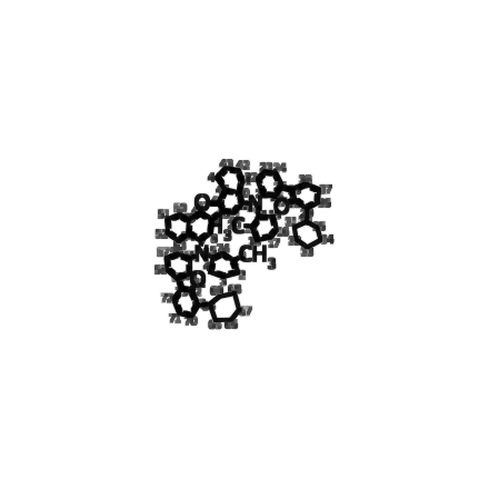 Cc1cccc(N(c2cc3c4cc(N(c5ccccc5C)c5cccc6c5oc5c(C7CCCCC7)cccc56)c5ccccc5c4oc3c3ccccc23)c2cccc3c2oc2c(C4CCCCC4)cccc23)c1